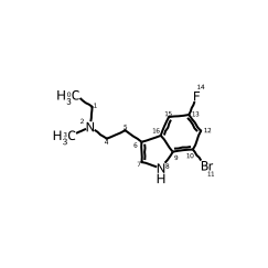 CCN(C)CCc1c[nH]c2c(Br)cc(F)cc12